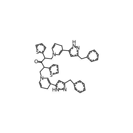 O=C(C(CN1C=CCC(c2cc(Cc3ccccc3)n[nH]2)=C1)c1cccs1)C(CN1C=CCC(c2cc(Cc3ccccc3)n[nH]2)=C1)c1cccs1